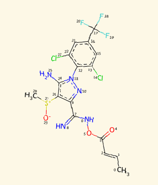 CC=CC(=O)ONC(=N)c1nn(-c2c(Cl)cc(C(F)(F)F)cc2Cl)c(N)c1[S+](C)[O-]